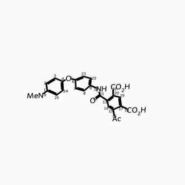 CNc1ccc(Oc2ccc(NC(=O)c3cc(C(C)=O)c(C(=O)O)cc3C(=O)O)cc2)cc1